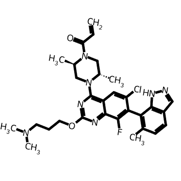 C=CC(=O)N1C[C@H](C)N(c2nc(OCCCN(C)C)nc3c(F)c(-c4c(C)ccc5cn[nH]c45)c(Cl)cc23)C[C@H]1C